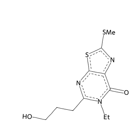 CCn1c(CCCO)nc2sc(SC)nc2c1=O